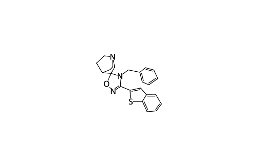 c1ccc(CN2C(c3cc4ccccc4s3)=NOC23CN2CCC3CC2)cc1